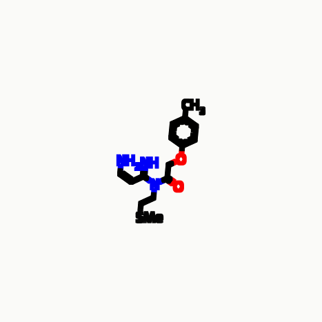 CSCCN(C(=N)/C=C\N)C(=O)COc1ccc(C)cc1